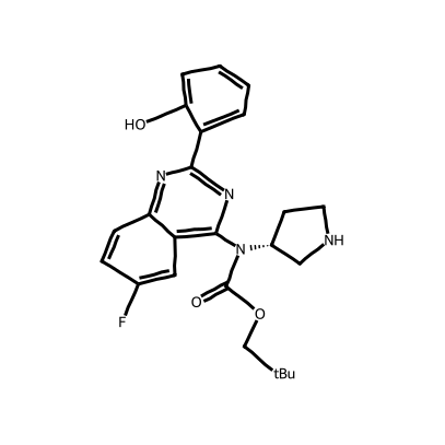 CC(C)(C)COC(=O)N(c1nc(-c2ccccc2O)nc2ccc(F)cc12)[C@@H]1CCNC1